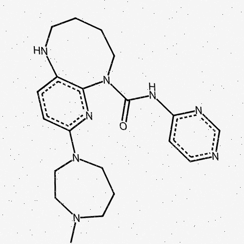 CN1CCCN(c2ccc3c(n2)N(C(=O)Nc2ccncn2)CCCCN3)CC1